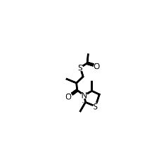 C[C]1SCC(C)N1C(=O)C(C)CSC(C)=O